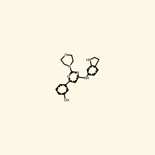 Oc1cccc(-c2cc(Nc3ccc4c(c3)NCC4)nc(N3CCOCC3)n2)c1